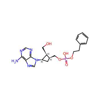 Nc1ncnc2c1ncn2[C@@H]1C[C@H](COP(=O)(O)OCCc2ccccc2)[C@@H]1CO